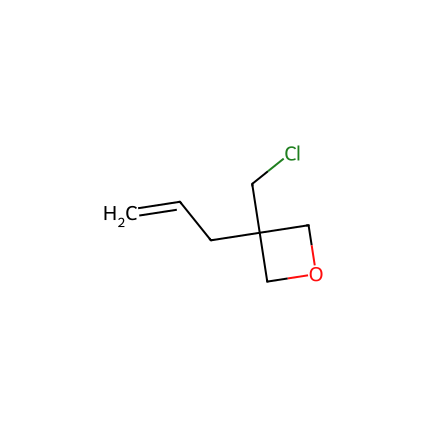 C=CCC1(CCl)COC1